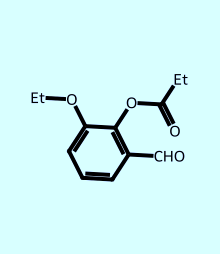 [CH2]CC(=O)Oc1c(C=O)cccc1OCC